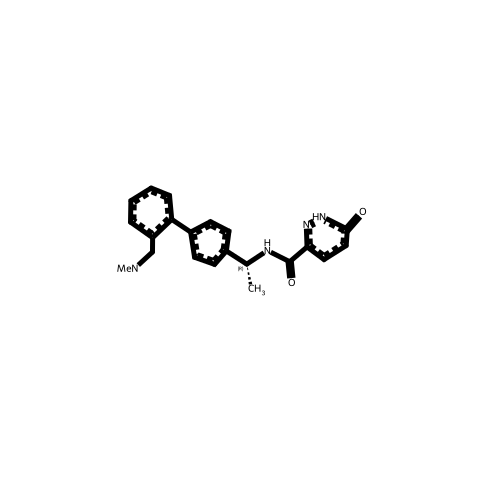 CNCc1ccccc1-c1ccc([C@@H](C)NC(=O)c2ccc(=O)[nH]n2)cc1